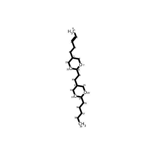 CC=CCCC1COC(CCC2COC(CCCCC)OC2)OC1